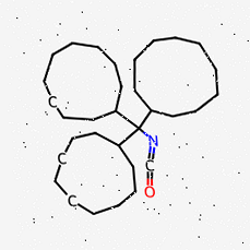 O=C=NC(C1CCCCCCCCC1)(C1CCCCCCCCC1)C1CCCCCCCCC1